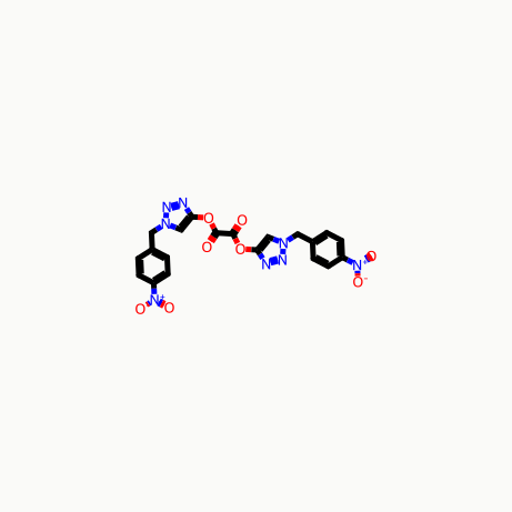 O=C(Oc1cn(Cc2ccc([N+](=O)[O-])cc2)nn1)C(=O)Oc1cn(Cc2ccc([N+](=O)[O-])cc2)nn1